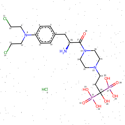 Cl.N[C@@H](Cc1ccc(N(CCCl)CCCl)cc1)C(=O)N1CCN(CCC(O)(P(=O)(O)O)P(=O)(O)O)CC1